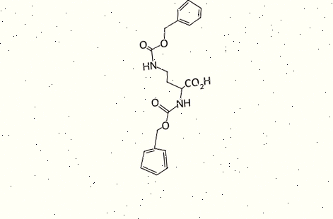 O=C(NCCC(NC(=O)OCc1ccccc1)C(=O)O)OCc1ccccc1